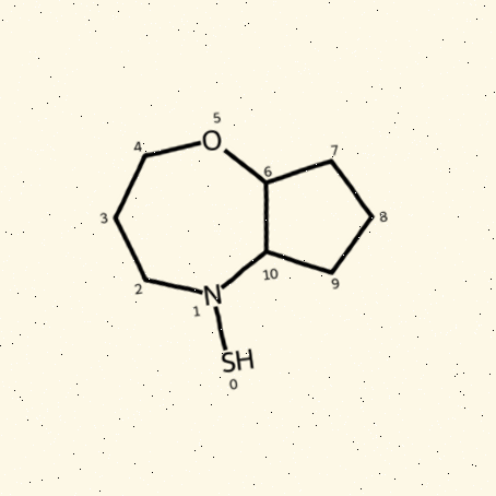 SN1CCCOC2CCCC21